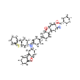 c1ccc(-c2nc3cc4c(cc3o2)oc2cc(-c3ccc(N(c5ccc6c(c5)sc5ccccc56)c5ccc6oc7ccccc7c6c5)cc3)ccc24)cc1